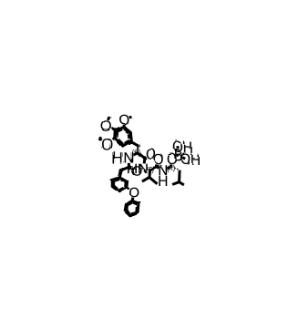 COc1cc(C[C@H](NC(=O)Cc2cccc(Oc3ccccc3)c2)C(=O)N[C@H](C(=O)N[C@@H](CC(C)C)OB(O)O)C(C)C)cc(OC)c1OC